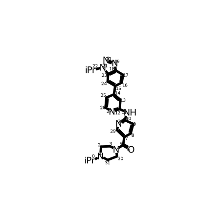 CC(C)N1CCN(C(=O)c2ccc(Nc3cc(-c4ccc5nnn(C(C)C)c5c4)ccn3)nc2)CC1